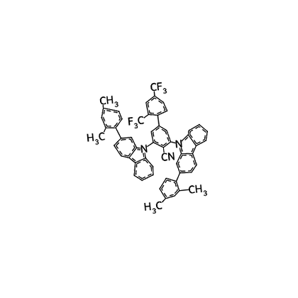 Cc1ccc(-c2ccc3c4ccccc4n(-c4cc(-c5ccc(C(F)(F)F)cc5C(F)(F)F)cc(-n5c6ccccc6c6ccc(-c7ccc(C)cc7C)cc65)c4C#N)c3c2)c(C)c1